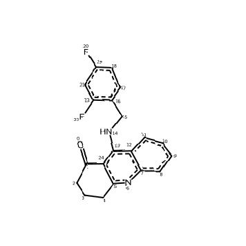 O=C1CCCc2nc3ccccc3c(NCc3ccc(F)cc3F)c21